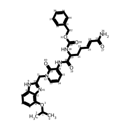 CC(C)Oc1cccc2[nH]c(Cn3cccc(NC(=O)C(CC/C=C/C(N)=O)NC(=O)OCc4ccccc4)c3=O)nc12